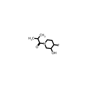 CC(C)C(=O)N1CCC(F)C(O)C1